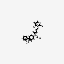 Cc1c[nH]c(=O)n(CCCC(=O)N(OC(C)(C)C)C2CCC(C#N)(c3ccccc3C#N)CC2)c1=O